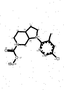 Cc1cc(Cl)nnc1N1CCC2CCN(C(=O)OC(C)(C)C)CC21